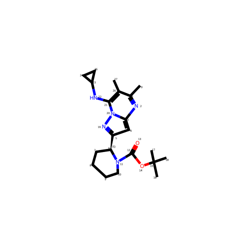 Cc1nc2cc([C@@H]3CCCCN3C(=O)OC(C)(C)C)nn2c(NC2CC2)c1C